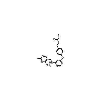 COC(=O)CCc1ccc(Oc2cc(NCc3cnc(C)nc3N)ncn2)cc1